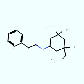 CNCC1(C)CC(NCCc2ccccc2)CC(C)(C)C1